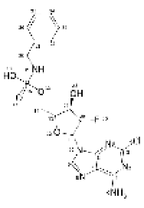 Nc1nc(Cl)nc2c1ncn2[C@@H]1O[C@H](COP(=O)(O)NCc2ccccc2)[C@@H](O)[C@@H]1F